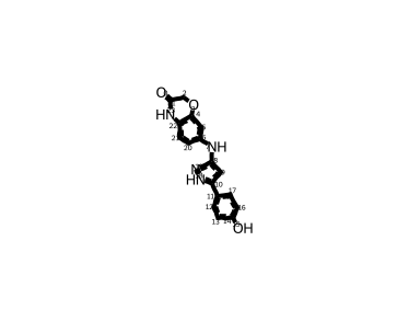 O=C1COc2cc(Nc3cc(-c4ccc(O)cc4)[nH]n3)ccc2N1